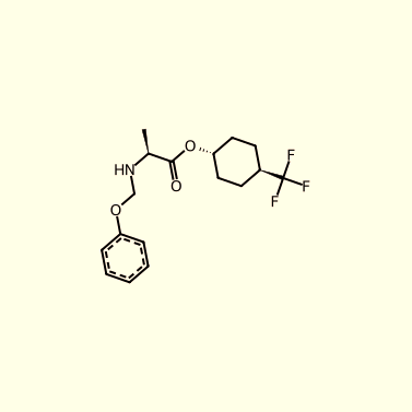 C[C@H](NCOc1ccccc1)C(=O)O[C@H]1CC[C@H](C(F)(F)F)CC1